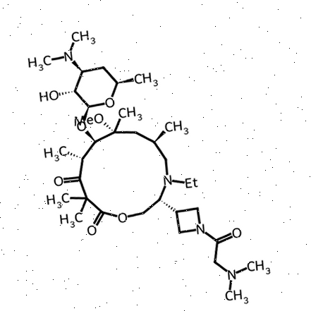 CCN1C[C@H](C)C[C@@](C)(OC)[C@H](O[C@@H]2O[C@H](C)C[C@H](N(C)C)[C@H]2O)[C@@H](C)C(=O)C(C)(C)C(=O)OC[C@H]1C1CN(C(=O)CN(C)C)C1